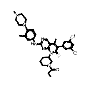 CCC(=O)N1CCCC(n2c(=O)c(-c3cc(Cl)cc(Cl)c3)c(C)c3cnc(Nc4ccc(N5CCN(C)CC5)c(C)c4)nc32)C1